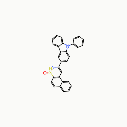 O=[SH]1=NC(c2ccc3c(c2)c2ccccc2n3-c2ccccc2)=Cc2c1ccc1ccccc21